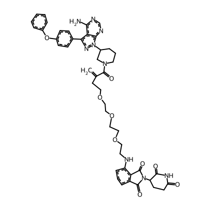 C=C(CCOCCOCCOCCNc1cccc2c1C(=O)N(C1CCC(=O)NC1=O)C2=O)C(=O)N1CCCC(n2nc(-c3ccc(Oc4ccccc4)cc3)c3c(N)ncnc32)C1